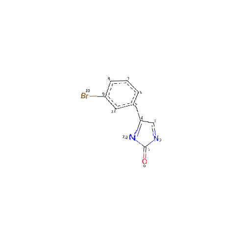 O=C1N=CC(c2cccc(Br)c2)=N1